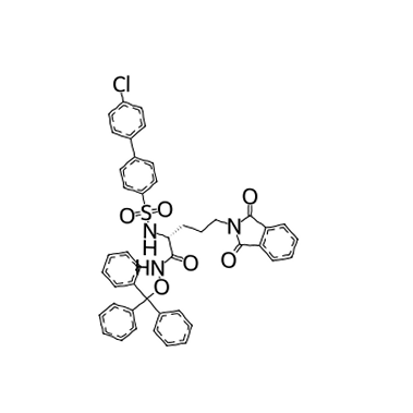 O=C(NOC(c1ccccc1)(c1ccccc1)c1ccccc1)[C@@H](CCCN1C(=O)c2ccccc2C1=O)NS(=O)(=O)c1ccc(-c2ccc(Cl)cc2)cc1